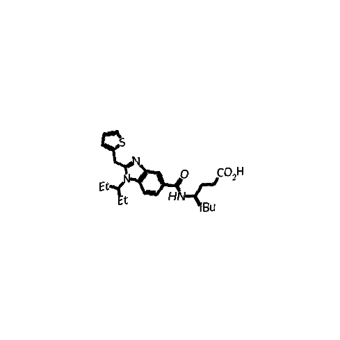 CCC(C)C(CCC(=O)O)NC(=O)c1ccc2c(c1)nc(Cc1cccs1)n2C(CC)CC